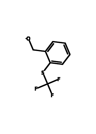 [O]Cc1ccccc1SC(F)(F)F